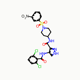 O=C(NC1CCN(S(=O)(=O)c2cccc([N+](=O)[O-])c2)CC1)c1n[nH]cc1NC(=O)c1c(Cl)cccc1Cl